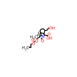 C=CCOC(=O)O[C@H](C)[C@H]1C(=O)N2C(C(=O)O)=C3C(CCO)CCC[C@@H]3[C@H]12